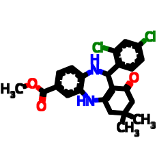 COC(=O)c1ccc2c(c1)NC1=C(C(=O)CC(C)(C)C1)C(c1ccc(Cl)cc1Cl)N2